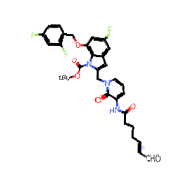 CC(C)(C)OC(=O)n1c(Cn2cccc(NC(=O)CCC/C=C/C=O)c2=O)cc2cc(F)cc(OCc3ccc(F)cc3F)c21